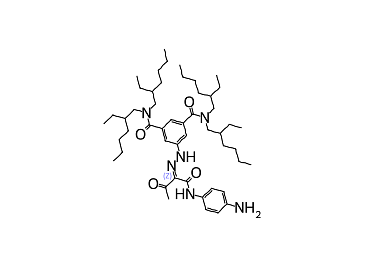 CCCCC(CC)CN(CC(CC)CCCC)C(=O)c1cc(N/N=C(/C(C)=O)C(=O)Nc2ccc(N)cc2)cc(C(=O)N(CC(CC)CCCC)CC(CC)CCCC)c1